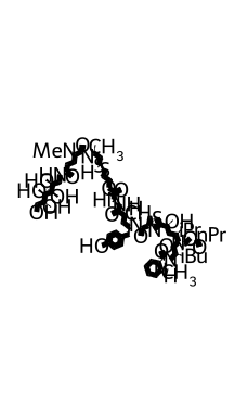 CCCC(=O)OCN(C(=O)[C@@H](NC(=O)[C@H]1CCCCN1C)C(C)CC)[C@H](C[C@@H](O)c1nc(C(=O)N[C@@H](Cc2ccc(O)cc2)C[C@H](C)C(=O)NNC(=O)OCCSSC[C@@H](C)NC(=O)[C@H](CCC(=O)NC[C@H](O)[C@@H](O)[C@H](O)[C@H](O)CO)NC)cs1)C(C)C